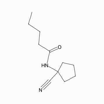 CCCCC(=O)NC1(C#N)CCCC1